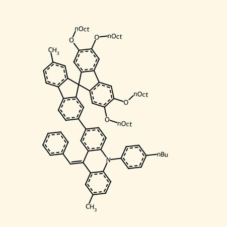 CCCCCCCCOc1cc2c(cc1OCCCCCCCC)C1(c3cc(C)ccc3-c3ccc(-c4ccc5c(c4)/C(=C\c4ccccc4)c4cc(C)ccc4N5c4ccc(CCCC)cc4)cc31)c1cc(OCCCCCCCC)c(OCCCCCCCC)cc1-2